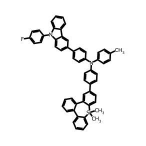 Cc1ccc(N(c2ccc(-c3ccc4c(c3)-c3ccccc3-c3ccccc3[Si]4(C)C)cc2)c2ccc(-c3ccc4c(c3)c3ccccc3n4-c3ccc(F)cc3)cc2)cc1